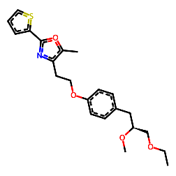 CCOC[C@H](Cc1ccc(OCCc2nc(-c3cccs3)oc2C)cc1)OC